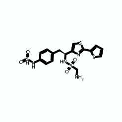 NCS(=O)(=O)N[C@@H](Cc1ccc(N[SH](=O)=O)cc1)c1csc(-c2cccs2)n1